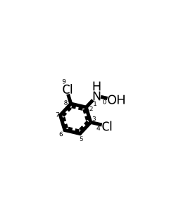 ONc1c(Cl)cccc1Cl